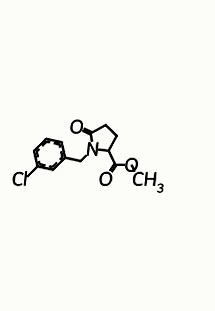 COC(=O)C1CCC(=O)N1Cc1cccc(Cl)c1